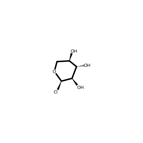 O[C@@H]1[C@@H](O)[C@@H](Cl)OC[C@H]1O